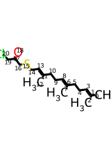 CC(C)=CCC/C(C)=C/CC/C(C)=C/CSCC(=O)CCl